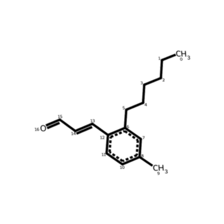 CCCCCCc1cc(C)ccc1C=CC=O